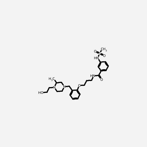 CC1CN(Cc2ccccc2OCCCNC(=O)c2cccc(NS(C)(=O)=O)c2)CCN1CCO